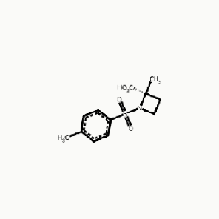 Cc1ccc(S(=O)(=O)N2CC[C@@]2(C)C(=O)O)cc1